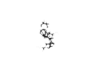 CC(C)N1C(=O)C2C3SC(C(OC(=O)C45CC6CC(C4)C4(OCC(F)(F)C(F)(F)CO4)C(C6)C5)C31)C2C(=O)OC(C)C(F)(F)S(=O)(=O)O